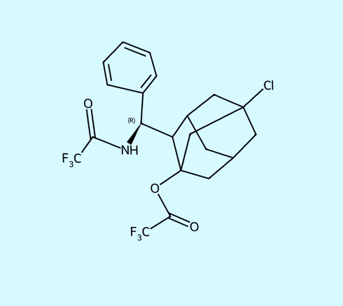 O=C(N[C@@H](c1ccccc1)C1C2CC3CC(Cl)(C2)CC1(OC(=O)C(F)(F)F)C3)C(F)(F)F